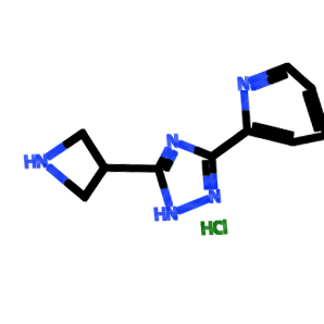 Cl.c1ccc(-c2n[nH]c(C3CNC3)n2)nc1